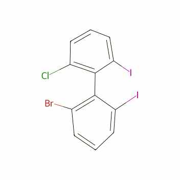 Clc1cccc(I)c1-c1c(Br)cccc1I